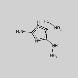 NNc1n[nH]c(N)n1.O=[N+]([O-])O